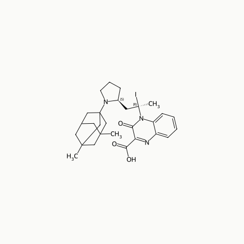 CC12CC3CC(C)(C1)CC(N1CCC[C@H]1C[C@@](C)(I)n1c(=O)c(C(=O)O)nc4ccccc41)(C3)C2